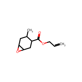 C=CCOC(=O)C1CC2OC2CC1C